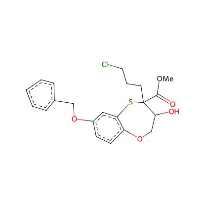 COC(=O)C1(CCCCl)Sc2cc(OCc3ccccc3)ccc2OCC1O